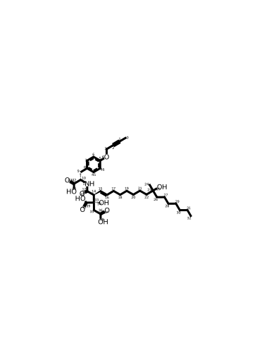 CC#CCOc1ccc(C[C@H](NC(=O)[C@@H](C=CCCCCCCC(C)(O)CCCCCCC)[C@@](O)(CC(=O)O)C(=O)O)C(=O)O)cc1